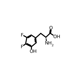 N[C@@H](Cc1cc(O)c(F)c(F)c1)C(=O)O